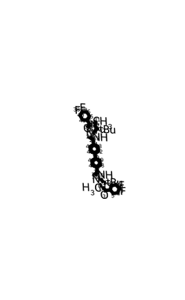 CN(C(=O)C1CCC(F)(F)CC1)C(c1ncc(-c2ccc(-c3ccc(-c4cnc(C(N(C)C(=O)C5CCC(F)(F)CC5)C(C)(C)C)[nH]4)cc3)cc2)[nH]1)C(C)(C)C